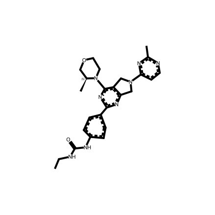 CCNC(=O)Nc1ccc(-c2nc3c(c(N4CCOC[C@@H]4C)n2)CN(c2ccnc(C)n2)C3)cc1